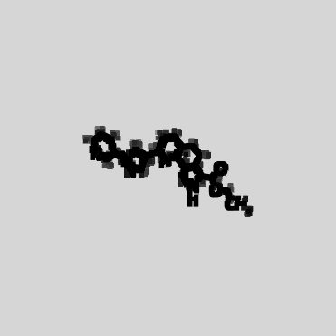 CCOC(=O)c1[nH]nc2c1CCc1ccc(-c3cnn(-c4cccnc4)c3)nc1-2